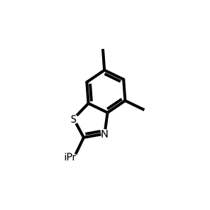 Cc1cc(C)c2nc(C(C)C)sc2c1